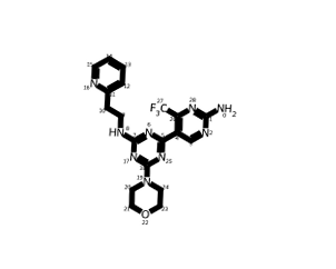 Nc1ncc(-c2nc(NCCc3ccccn3)nc(N3CCOCC3)n2)c(C(F)(F)F)n1